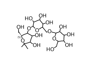 CC1(C)O[C@@H](CO)C(OC2OC(COC3OC(CO)C(O)C(O)C3O)C(O)C(O)C2O)C(O)C1O